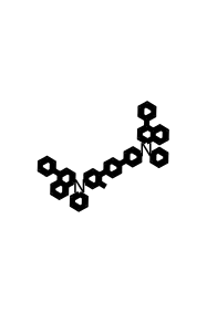 Cc1cc(N(c2ccccc2)c2ccc(-c3ccccc3)c3ccccc23)ccc1-c1ccc(-c2ccc(N(c3ccccc3)c3ccc(-c4ccccc4)c4ccccc34)cc2)cc1